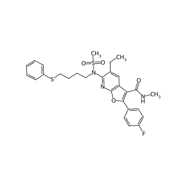 CCc1cc2c(C(=O)NC)c(-c3ccc(F)cc3)oc2nc1N(CCCCSc1ccccc1)S(C)(=O)=O